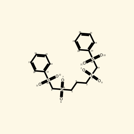 O=S(=O)(CCCS(=O)(=O)CS(=O)(=O)c1ccccc1)CS(=O)(=O)c1ccccc1